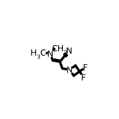 CN(C)/C=C(\C#N)CN1CC(F)(F)C1